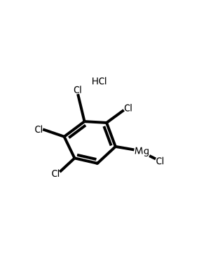 Cl.[Cl][Mg][c]1cc(Cl)c(Cl)c(Cl)c1Cl